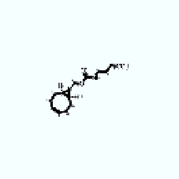 O=C(O)CCCNC(=O)OC[C@@H]1[C@@H]2CC/C=C\CC[C@@H]21